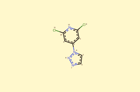 Clc1cc(-n2ccnn2)cc(Cl)n1